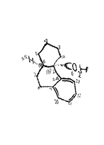 O=C(O)[C@@]12CCCC[C@@H]1CCc1ccccc12